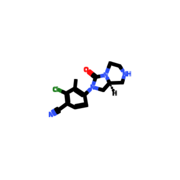 Cc1c(N2C[C@@H]3CNCCN3C2=O)ccc(C#N)c1Cl